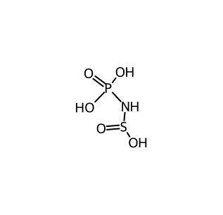 O=S(O)NP(=O)(O)O